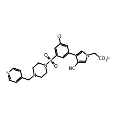 N#Cc1cn(CC(=O)O)cc1-c1cc(Cl)cc(S(=O)(=O)N2CCN(Cc3ccncc3)CC2)c1